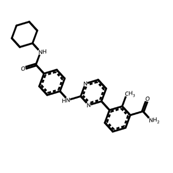 Cc1c(C(N)=O)cccc1-c1ccnc(Nc2ccc(C(=O)NC3CCCCC3)cc2)n1